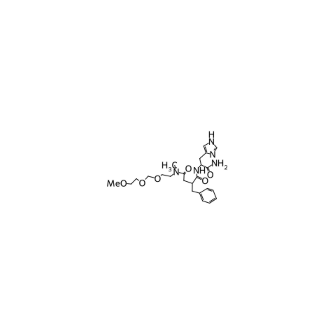 COCCOCOCCN(C)C(=O)CC(Cc1ccccc1)C(=O)NC(Cc1c[nH]cn1)C(N)=O